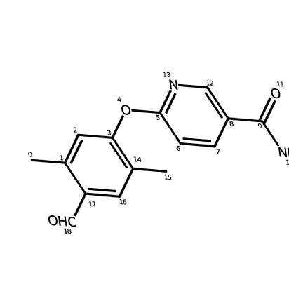 Cc1cc(Oc2ccc(C(N)=O)cn2)c(C)cc1C=O